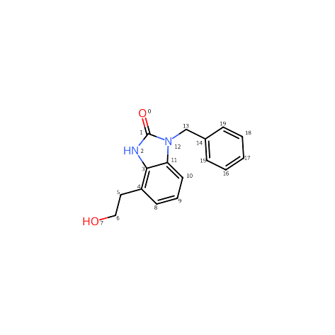 O=c1[nH]c2c(CCO)cccc2n1Cc1ccccc1